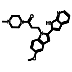 COc1ccc2c(c1)cc(-c1cc3cccnc3[nH]1)n2CCC(=O)N1CCN(C)CC1